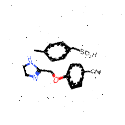 Cc1ccc(S(=O)(=O)O)cc1.N#Cc1ccc(OCC2=NCCN2)cc1